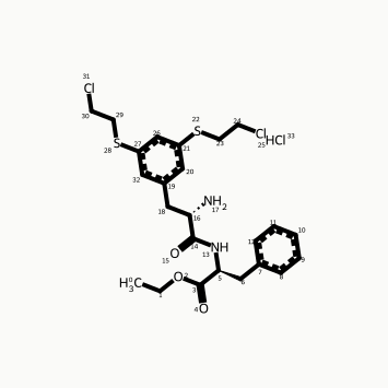 CCOC(=O)[C@H](Cc1ccccc1)NC(=O)[C@@H](N)Cc1cc(SCCCl)cc(SCCCl)c1.Cl